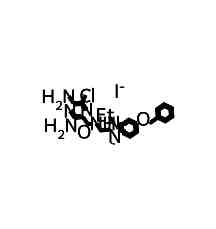 CCn1c(CNC(=O)c2nc(Cl)c(N)nc2N)[n+](C)c2ccc(OCc3ccccc3)cc21.[I-]